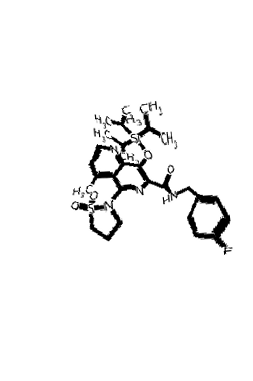 Cc1ccnc2c(O[Si](C(C)C)(C(C)C)C(C)C)c(C(=O)NCc3ccc(F)cc3)nc(N3CCCS3(=O)=O)c12